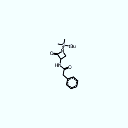 CC(C)(C)[Si](C)(C)N1CC(NC(=O)Cc2ccccc2)C1=O